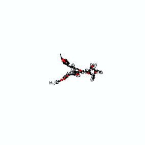 COCCCCN1CCN(C(=O)CCCN2C(=O)CC(SC(CCCCCNC(=O)CCCc3ccc(I)cc3)CNC(=O)CN3CCN(COC=O)CCN(COC=O)CCN(CC(=O)O)CC3)C2=O)CC1